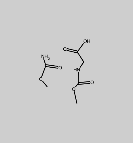 COC(=O)NCC(=O)O.COC(N)=O